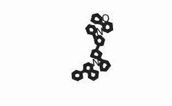 c1ccc(-c2ccc(-n3c4ccccc4c4cc(-c5ccc6c(c5)c5ccccc5n6-c5cccc6oc7ccccc7c56)ccc43)c3ccccc23)cc1